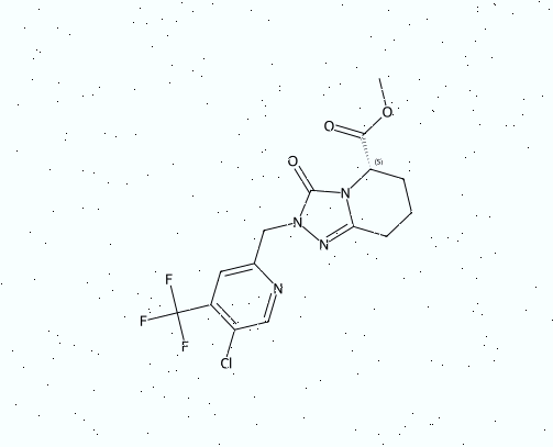 COC(=O)[C@@H]1CCCc2nn(Cc3cc(C(F)(F)F)c(Cl)cn3)c(=O)n21